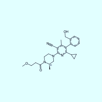 COCCC(=O)N1CCN(c2nc(C3CC3)c(-c3ccccc3CO)c(C)c2C#N)C[C@H]1C